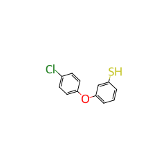 Sc1cccc(Oc2ccc(Cl)cc2)c1